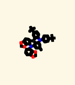 Cc1cc2c3c(c1)N(c1cccc4c1OCO4)c1c(ccc4c1OCO4)B3c1cc(C(C)(C)C)ccc1N2c1ccc(C(C)(C)C)cc1